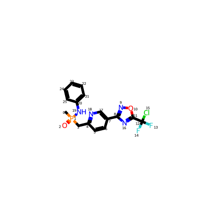 CP(=O)(Cc1ccc(-c2noc(C(F)(F)Cl)n2)cn1)Nc1ccccc1